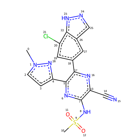 Cn1ccc(-c2nc(NS(C)(=O)=O)c(C#N)nc2-c2cc(Cl)c3[nH]ncc3c2)n1